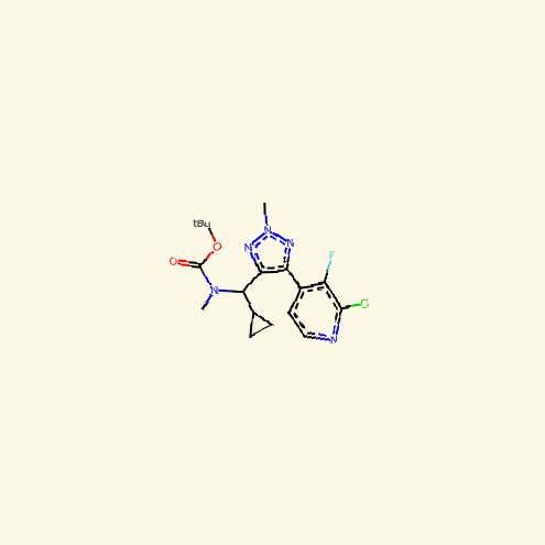 CN(C(=O)OC(C)(C)C)C(c1nn(C)nc1-c1ccnc(Cl)c1F)C1CC1